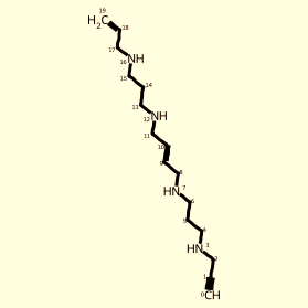 C#CCNCCCNCC=CCNCCCNCC=C